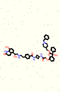 O=C(COc1cccc([C@](O)(C(=O)OCC2CCN(Cc3ccccc3)CC2)c2ccccc2)c1)N[C@H]1C[C@H](NC(=O)c2ccc(CCNC[C@H](O)c3ccc(O)c4[nH]c(=O)ccc34)cc2)C1